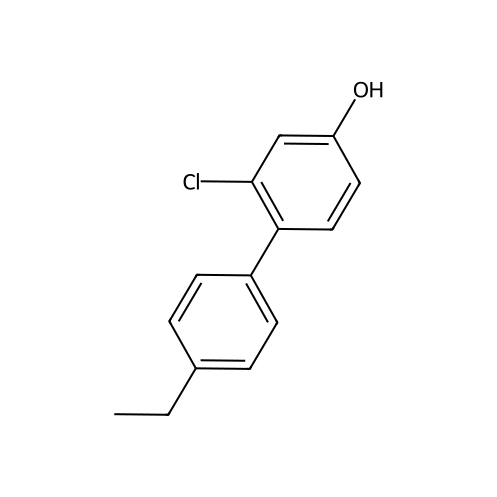 CCc1ccc(-c2ccc(O)cc2Cl)cc1